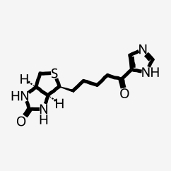 O=C1N[C@H]2[C@H](CS[C@H]2CCCCC(=O)c2cnc[nH]2)N1